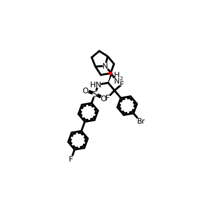 NC1CC2CCC(C1)N2C[C@H](NS(=O)(=O)c1ccc(-c2ccc(F)cc2)cc1)C(F)(F)c1ccc(Br)cc1